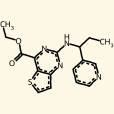 CCOC(=O)c1nc(NC(CC)c2cccnc2)nc2ccsc12